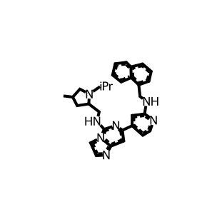 CC1CC(CNc2nc(-c3ccnc(NCc4cccc5ccccc45)c3)cc3nccn23)N(C(C)C)C1